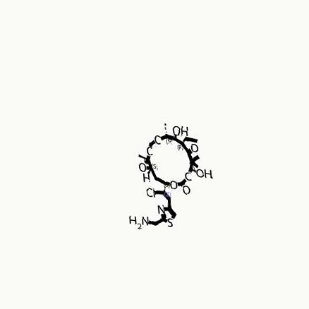 CC[C@H]1C(=O)C(C)(C)[C@@H](O)CC(=O)O[C@H](/C(Cl)=C/c2csc(CN)n2)C[C@@H]2O[C@]2(C)CCC[C@H](C)[C@@H]1O